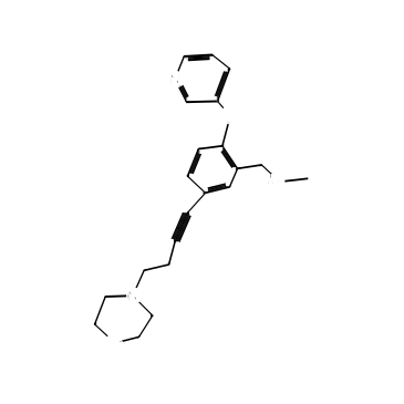 C[AsH]Cc1cc(C#CCCN2CCOCC2)ccc1Oc1cccnc1